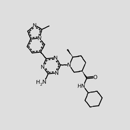 Cc1ncc2ccc(-c3nc(N)nc(N4C[C@H](C(=O)NC5CCCCC5)CC[C@@H]4C)n3)cn12